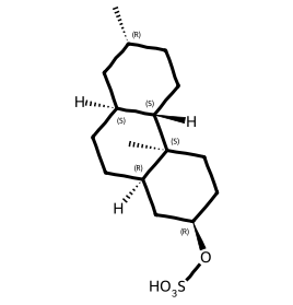 C[C@@H]1CC[C@H]2[C@@H](CC[C@@H]3C[C@H](OS(=O)(=O)O)CC[C@@]32C)C1